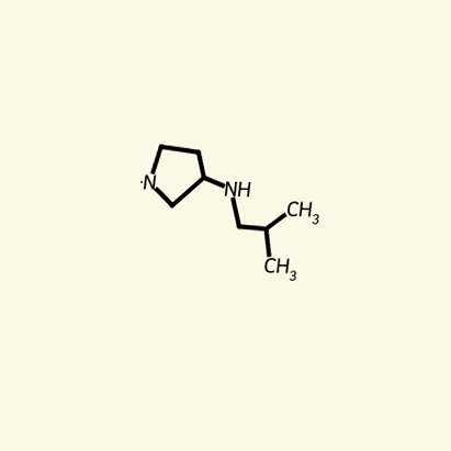 CC(C)CNC1CC[N]C1